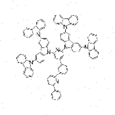 c1ccc(-c2cccc(-c3cccc(-c4cc(-n5c6ccc(-n7c8ccccc8c8ccccc87)cc6c6cc(-n7c8ccccc8c8ccccc87)ccc65)nc(-n5c6ccc(-n7c8ccccc8c8ccccc87)cc6c6cc(-n7c8ccccc8c8ccccc87)ccc65)c4)c3)n2)cc1